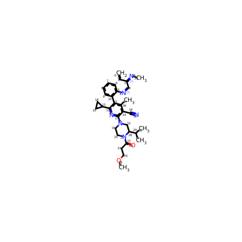 C=CC(/C=N\c1ccccc1-c1c(C2CC2)nc(N2CCN(C(=O)CCOC)C(C(C)C)C2)c(C#N)c1C)=N/C